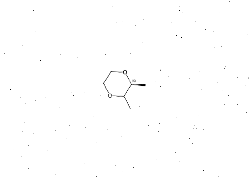 CC1OCCO[C@H]1C